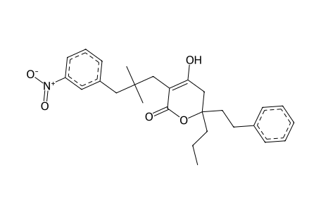 CCCC1(CCc2ccccc2)CC(O)=C(CC(C)(C)Cc2cccc([N+](=O)[O-])c2)C(=O)O1